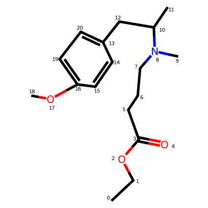 CCOC(=O)CCCN(C)C(C)Cc1ccc(OC)cc1